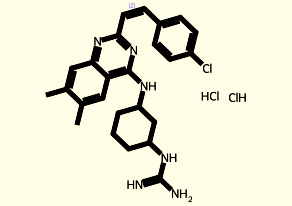 Cc1cc2nc(/C=C\c3ccc(Cl)cc3)nc(NC3CCCC(NC(=N)N)C3)c2cc1C.Cl.Cl